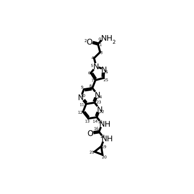 NC(=O)CCn1cc(-c2cnc3ccc(NC(=O)NC4CC4)nc3n2)cn1